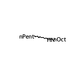 CCCCCC=CCC=CCCCCCCCCNCCCCCCCC